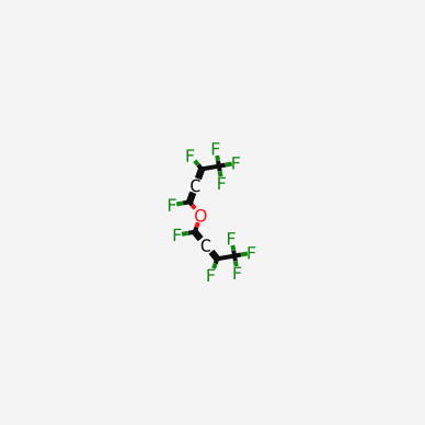 FC(=C=C(F)C(F)(F)F)OC(F)=C=C(F)C(F)(F)F